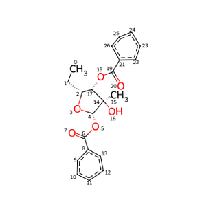 CC[C@H]1O[C@@H](OC(=O)c2ccccc2)[C@](C)(O)[C@H]1OC(=O)c1ccccc1